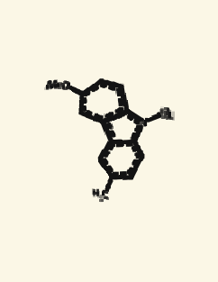 COc1ccc2c(c1)c1cc(C)ccc1n2C(C)(C)C